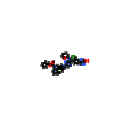 N=C(NO)c1ccc(-c2nn(C3CCCCO3)c3nc(N4CC[C@@H]5[C@H](C4)[C@@]5(CNC(=O)OCc4ccccc4)c4ccccc4F)cnc23)c(Cl)c1